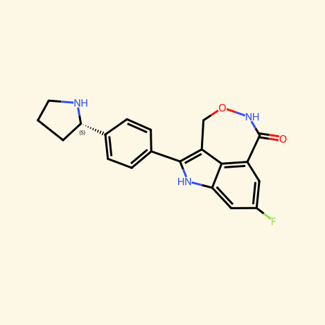 O=C1NOCc2c(-c3ccc([C@@H]4CCCN4)cc3)[nH]c3cc(F)cc1c23